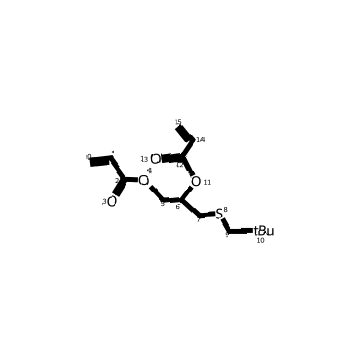 C=CC(=O)OCC(CSCC(C)(C)C)OC(=O)C=C